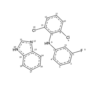 Fc1cccc(Nc2c(Cl)cccc2Cl)c1.c1ccc2[nH]cnc2c1